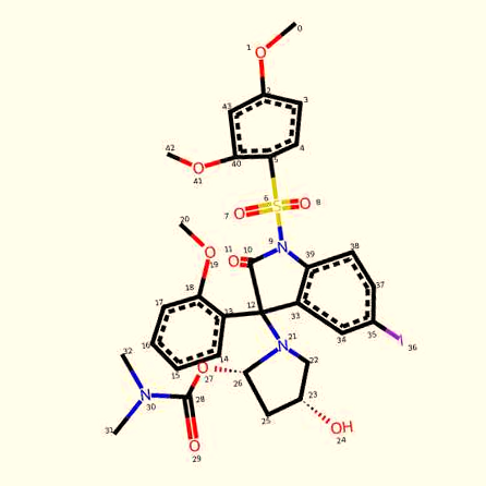 COc1ccc(S(=O)(=O)N2C(=O)C(c3ccccc3OC)(N3C[C@H](O)C[C@@H]3OC(=O)N(C)C)c3cc(I)ccc32)c(OC)c1